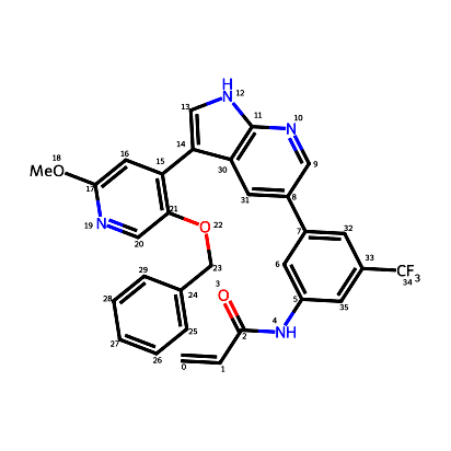 C=CC(=O)Nc1cc(-c2cnc3[nH]cc(-c4cc(OC)ncc4OCc4ccccc4)c3c2)cc(C(F)(F)F)c1